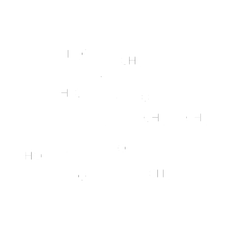 CCC(C)(C)OC(CC(=O)O)C(=O)C(C)(C)C